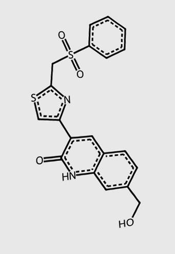 O=c1[nH]c2cc(CO)ccc2cc1-c1csc(CS(=O)(=O)c2ccccc2)n1